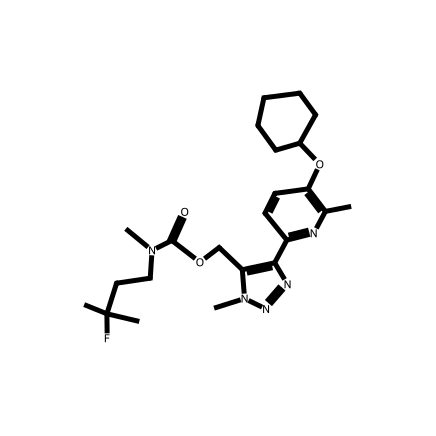 Cc1nc(-c2nnn(C)c2COC(=O)N(C)CCC(C)(C)F)ccc1OC1CCCCC1